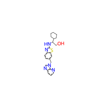 OCC(Nc1nc2ccc(Cn3cnc4cccnc43)cc2s1)C1CCCCC1